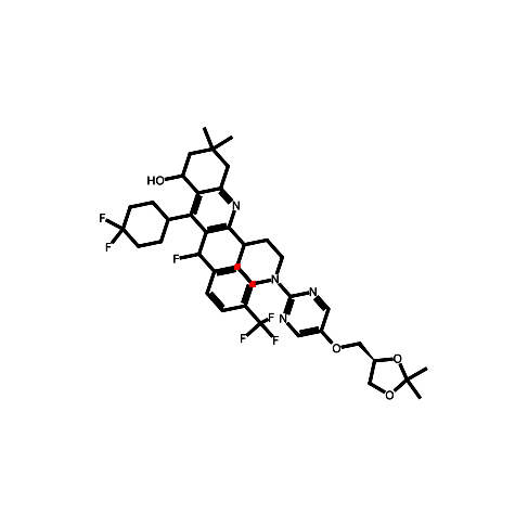 CC1(C)Cc2nc(C3CCN(c4ncc(OC[C@@H]5COC(C)(C)O5)cn4)CC3)c(C(F)c3ccc(C(F)(F)F)cc3)c(C3CCC(F)(F)CC3)c2C(O)C1